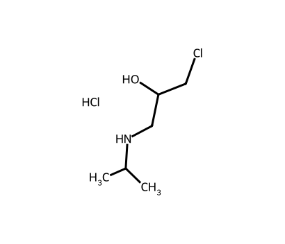 CC(C)NCC(O)CCl.Cl